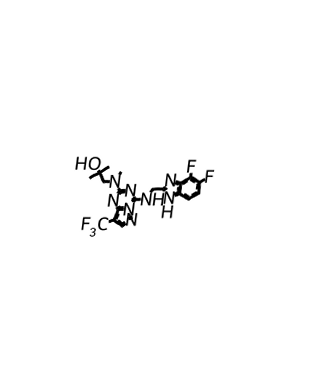 CN(CC(C)(C)O)c1nc(NCc2nc3c(F)c(F)ccc3[nH]2)n2ncc(C(F)(F)F)c2n1